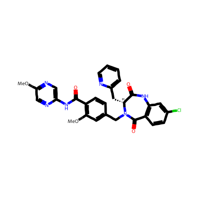 COc1cnc(NC(=O)c2ccc(CN3C(=O)c4ccc(Cl)cc4NC(=O)[C@H]3Cc3ccccn3)cc2OC)cn1